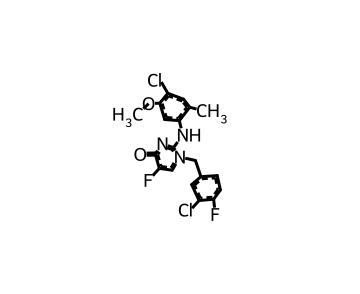 COc1cc(Nc2nc(=O)c(F)cn2Cc2ccc(F)c(Cl)c2)c(C)cc1Cl